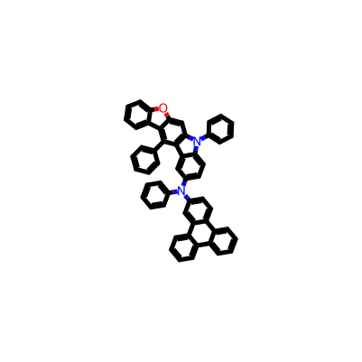 c1ccc(-c2c3c(cc4c2c2cc(N(c5ccccc5)c5ccc6c7ccccc7c7ccccc7c6c5)ccc2n4-c2ccccc2)oc2ccccc23)cc1